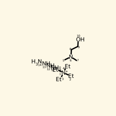 CC[N+](CC)(CC)CC.CN(C)CCO.N.N.N.N